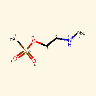 CCCCNCCOS(=O)(=O)CCC